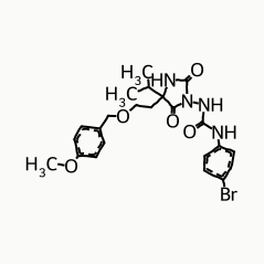 COc1ccc(COCCC2(C(C)C)NC(=O)N(NC(=O)Nc3ccc(Br)cc3)C2=O)cc1